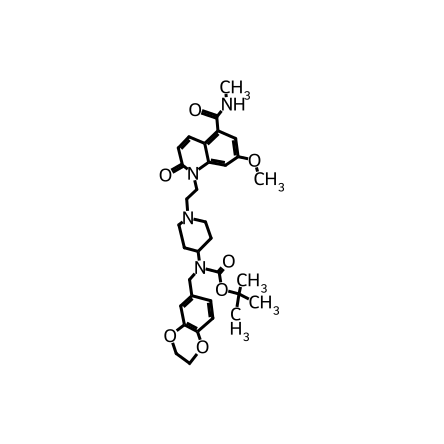 CNC(=O)c1cc(OC)cc2c1ccc(=O)n2CCN1CCC(N(Cc2ccc3c(c2)OCCO3)C(=O)OC(C)(C)C)CC1